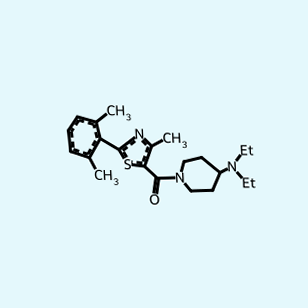 CCN(CC)C1CCN(C(=O)c2sc(-c3c(C)cccc3C)nc2C)CC1